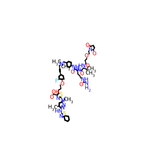 Cc1cc(N(C)c2nc(C(=O)O)c(CCCOc3ccc(C#CC[N+](C)(C)Cc4ccc(NC(=O)C(CCCNC(N)=O)NC(=O)C(NC(=O)CCOCCN5C(=O)C=CC5=O)C(C)C)cc4)cc3F)s2)nnc1Nc1nc2ccccc2s1